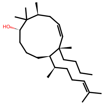 CCCC[C@@]1(C)C=CC[C@H](C)C(C)(C)[C@@H](O)CCC[C@@H]1[C@H](C)CCC=C(C)C